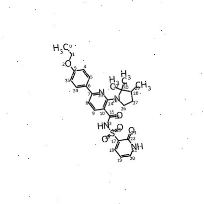 CCOc1ccc(-c2ccc(C(=O)NS(=O)(=O)c3ccc[nH]c3=O)c(N3CCC(C)C3(C)C)n2)cc1